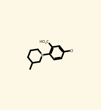 CC1CCCN(c2ccc(Cl)cc2C(=O)O)C1